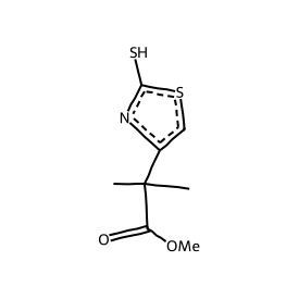 COC(=O)C(C)(C)c1csc(S)n1